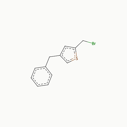 BrCc1cc(Cc2ccccc2)cs1